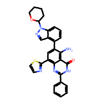 Nc1c(-c2cccc3c2cnn3C2CCCCO2)cc(-c2nccs2)c2nc(-c3ccccc3)[nH]c(=O)c12